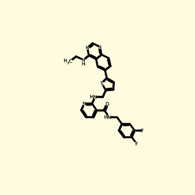 CCNc1ncnc2ccc(-c3ccc(CNc4ncccc4C(=O)NCc4ccc(F)c(F)c4)s3)cc12